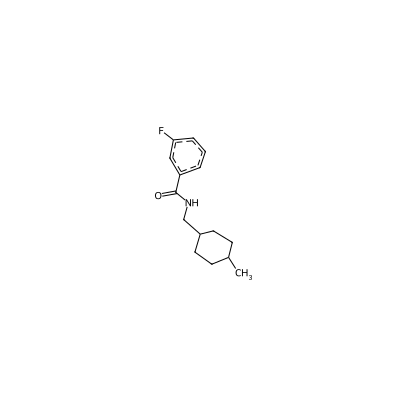 CC1CCC(CNC(=O)c2cccc(F)c2)CC1